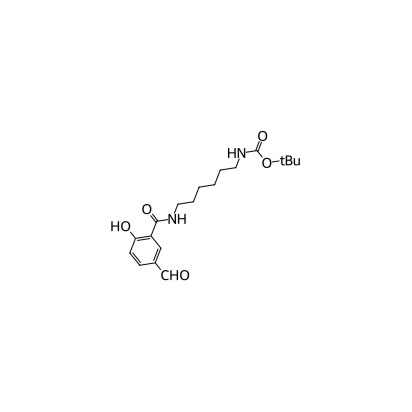 CC(C)(C)OC(=O)NCCCCCCNC(=O)c1cc(C=O)ccc1O